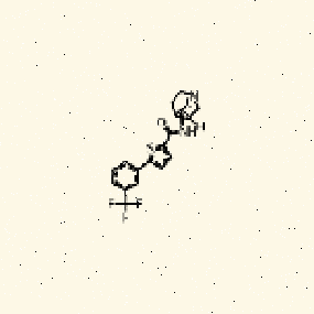 O=C(N[C@H]1CN2CCC1CC2)c1ccc(-c2cccc(C(F)(F)F)c2)s1